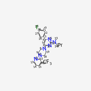 Cc1cc(-c2cc(N3CCN(c4ncccc4C(F)(F)F)CC3)nc(N(C)C(C)C)n2)ccc1F